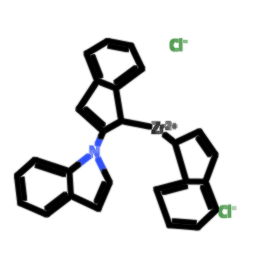 C1=C[CH]([Zr+2][CH]2C(n3ccc4ccccc43)=Cc3ccccc32)c2ccccc21.[Cl-].[Cl-]